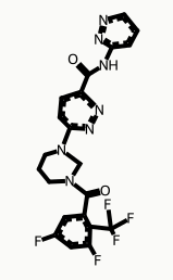 O=C(Nc1cccnn1)c1ccc(N2CCCN(C(=O)c3cc(F)cc(F)c3C(F)(F)F)C2)nn1